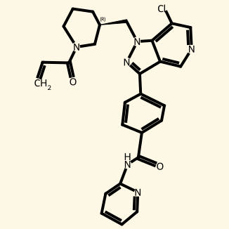 C=CC(=O)N1CCC[C@@H](Cn2nc(-c3ccc(C(=O)Nc4ccccn4)cc3)c3cncc(Cl)c32)C1